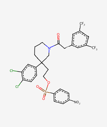 O=C(Cc1cc(C(F)(F)F)cc(C(F)(F)F)c1)N1CCCC(CCOS(=O)(=O)c2ccc([N+](=O)[O-])cc2)(c2ccc(Cl)c(Cl)c2)C1